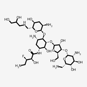 NC[C@@H](F)[C@H](O)C(=O)N[C@@H]1C[C@H](N)[C@@H](O[C@H]2O[C@H](CNCC(O)CO)[C@@H](O)C[C@H]2N)[C@H](O[C@@H]2O[C@H](CO)[C@@H](O[C@H]3O[C@@H](CN)[C@@H](O)[C@H](O)[C@H]3N)[C@H]2O)[C@H]1O